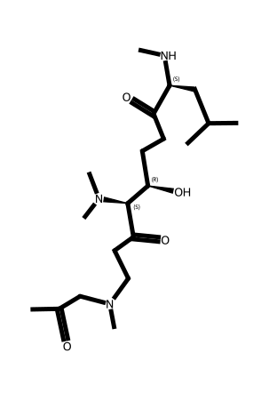 CN[C@@H](CC(C)C)C(=O)CC[C@@H](O)[C@@H](C(=O)CCN(C)CC(C)=O)N(C)C